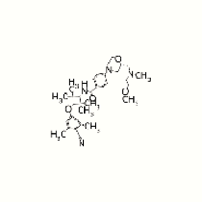 COCCN(C)C[C@@H]1CN(c2ccc(C(=O)N[C@H]3C(C)(C)[C@H](Oc4cc(C)c(C#N)c(C)c4)C3(C)C)cc2)CCO1